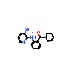 Nc1cccnc1Nc1ccccc1C(=O)c1ccccc1